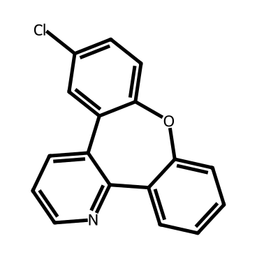 Clc1ccc2c(c1)-c1cccnc1-c1ccccc1O2